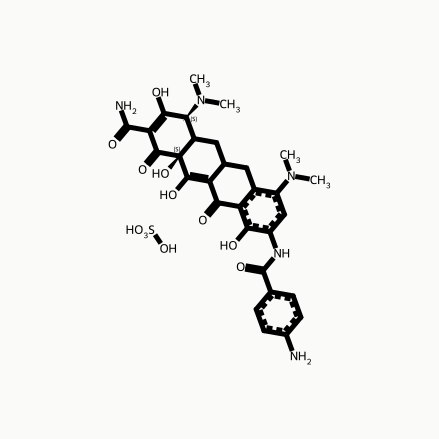 CN(C)c1cc(NC(=O)c2ccc(N)cc2)c(O)c2c1CC1CC3[C@H](N(C)C)C(O)=C(C(N)=O)C(=O)[C@@]3(O)C(O)=C1C2=O.O=S(=O)(O)O